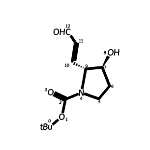 CC(C)(C)OC(=O)N1CC[C@H](O)[C@H]1/C=C/C=O